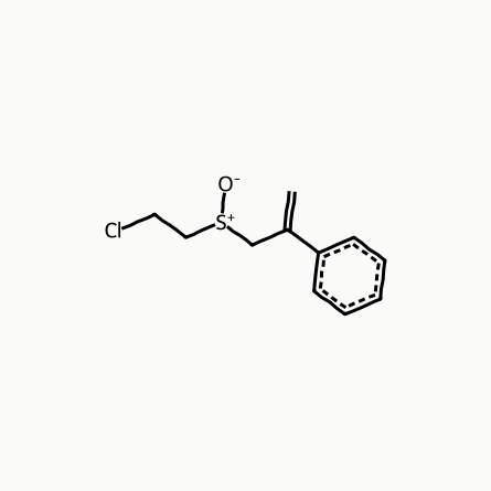 C=C(C[S+]([O-])CCCl)c1ccccc1